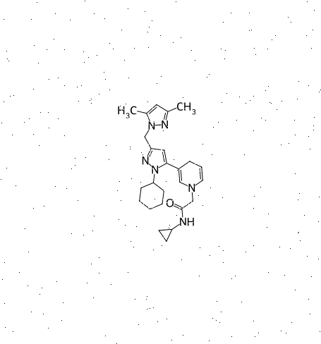 Cc1cc(C)n(Cc2cc(C3=CN(CC(=O)NC4CC4)C=CC3)n(C3CCCCC3)n2)n1